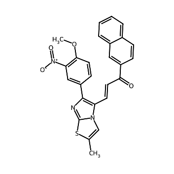 COc1ccc(-c2nc3sc(C)cn3c2C=CC(=O)c2ccc3ccccc3c2)cc1[N+](=O)[O-]